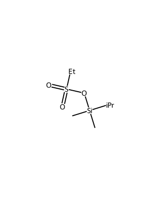 CCS(=O)(=O)O[Si](C)(C)C(C)C